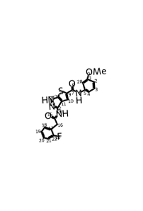 COc1cccc(NC(=O)c2cc3c(NC(=O)Cc4ccccc4F)n[nH]c3s2)c1